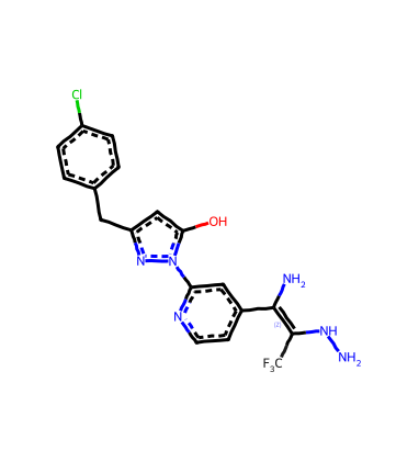 NN/C(=C(\N)c1ccnc(-n2nc(Cc3ccc(Cl)cc3)cc2O)c1)C(F)(F)F